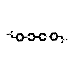 C[N+](C)=Cc1ccc(-[n+]2ccc(-c3cc[n+](-c4ccc(C=[N+](C)C)cc4)cc3)cc2)cc1